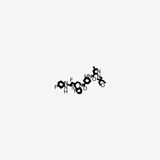 Cc1cnc(N2CC3(CCOCC3)C2)c(C(=O)Nc2ccc(C(=O)N3CCc4c(sc(-c5nc6ccc(F)cc6[nH]5)c4F)-c4ncccc43)cc2)c1